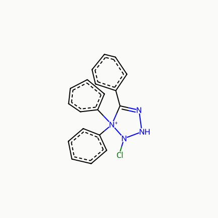 ClN1NN=C(c2ccccc2)[N+]1(c1ccccc1)c1ccccc1